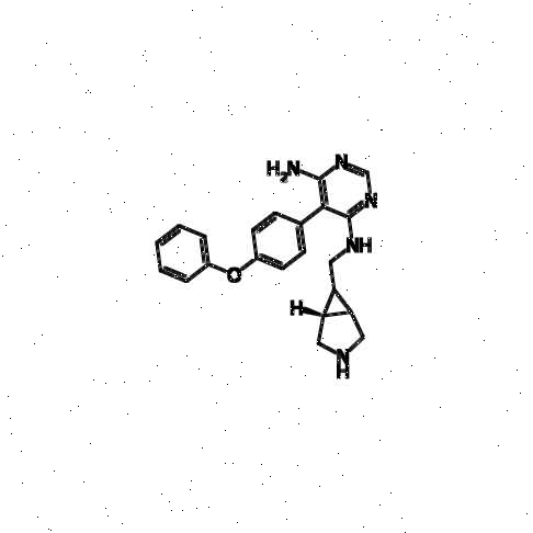 Nc1ncnc(NCC2C3CNC[C@@H]32)c1-c1ccc(Oc2ccccc2)cc1